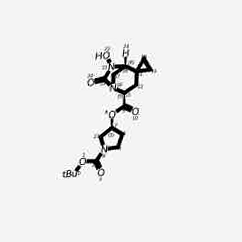 CC(C)(C)OC(=O)N1CC[C@H](OC(=O)[C@@H]2CC3(CC3)[C@@H]3CN2C(=O)N3O)C1